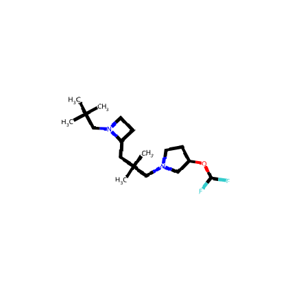 CC(C)(C)CN1CCC1CC(C)(C)CN1CCC(OC(F)F)C1